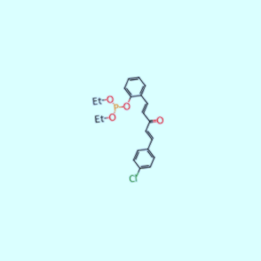 CCOP(OCC)Oc1ccccc1/C=C/C(=O)/C=C/c1ccc(Cl)cc1